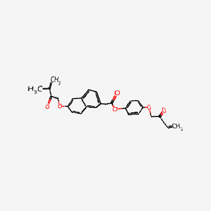 C=CC(=O)COc1ccc(OC(=O)c2ccc3cc(OCC(=O)C(=C)C)ccc3c2)cc1